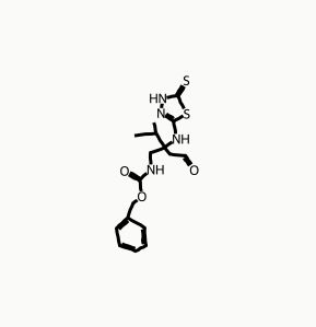 CC(C)C(CC=O)(CNC(=O)OCc1ccccc1)Nc1n[nH]c(=S)s1